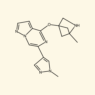 Cn1cc(-c2cn3nccc3c(OC34CNC(C)(C3)C4)n2)cn1